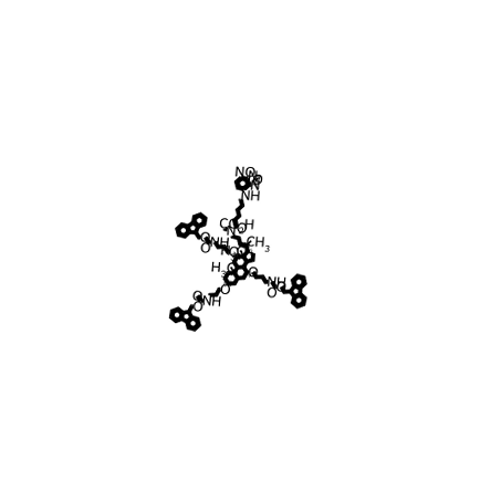 C[C@H](CCCN(CC(=O)O)C(=O)CCCCCNc1ccc([N+](=O)[O-])c2nonc12)[C@H]1CCC2C3C(C[C@H](OCCCNC(=O)OCC4c5ccccc5-c5ccccc54)[C@@]21C)[C@@]1(C)CC[C@@H](OCCCNC(=O)OCC2c4ccccc4-c4ccccc42)CC1C[C@H]3OCCCNC(=O)OCC1c2ccccc2-c2ccccc21